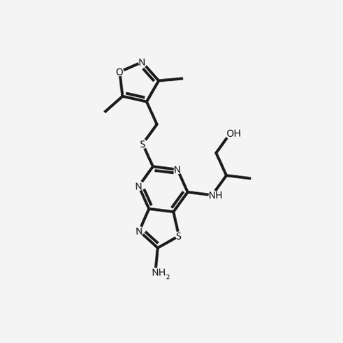 Cc1noc(C)c1CSc1nc(NC(C)CO)c2sc(N)nc2n1